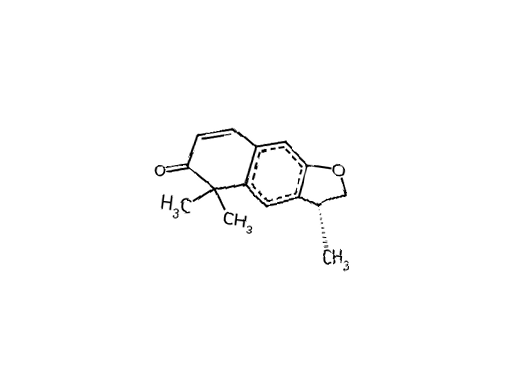 C[C@H]1COc2cc3c(cc21)C(C)(C)C(=O)C=C3